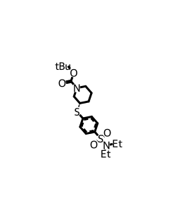 CCN(CC)S(=O)(=O)c1ccc(S[C@H]2CCCN(C(=O)OC(C)(C)C)C2)cc1